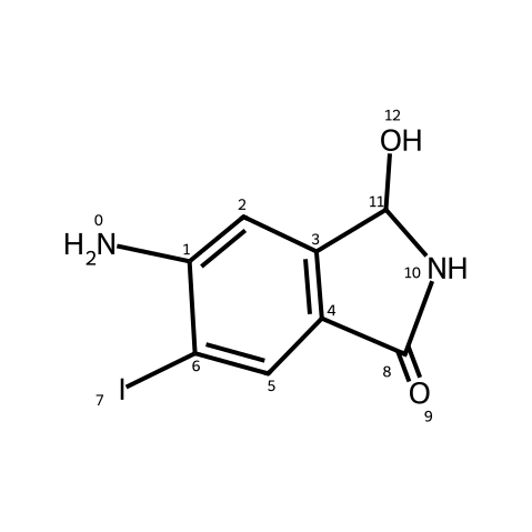 Nc1cc2c(cc1I)C(=O)NC2O